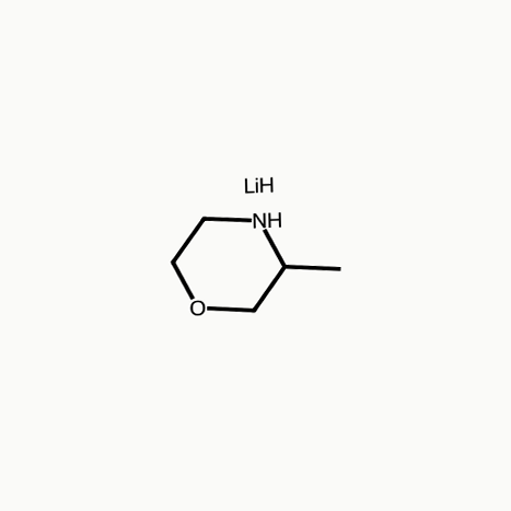 CC1COCCN1.[LiH]